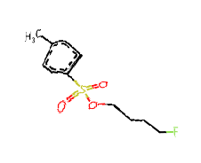 Cc1ccc(S(=O)(=O)OCCCCF)cc1